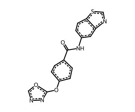 O=C(Nc1ccc2scnc2c1)c1ccc(Oc2nnco2)cc1